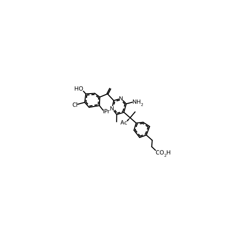 C=C(c1nc(C)c([C@@](C)(C(C)=O)c2ccc(CCC(=O)O)cc2)c(N)n1)c1cc(O)c(Cl)cc1C(C)C